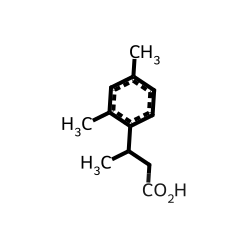 Cc1ccc(C(C)CC(=O)O)c(C)c1